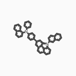 c1ccc(N(c2ccc(-c3cc4ccc5cccc6c5c4c(c3)n6-c3ccc4ccccc4c3)cc2)c2cccc3ccccc23)cc1